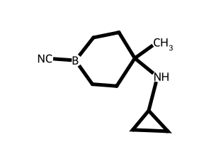 CC1(NC2CC2)CCB(C#N)CC1